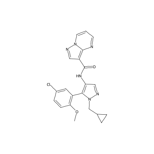 COc1ccc(Cl)cc1-c1c(NC(=O)c2cnn3cccnc23)cnn1CC1CC1